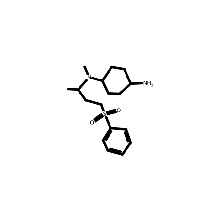 CC(CCS(=O)(=O)c1ccccc1)N(C)C1CCC(N)CC1